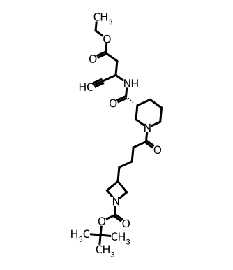 C#CC(CC(=O)OCC)NC(=O)[C@@H]1CCCN(C(=O)CCCC2CN(C(=O)OC(C)(C)C)C2)C1